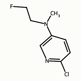 CN(CCF)c1ccc(Cl)nc1